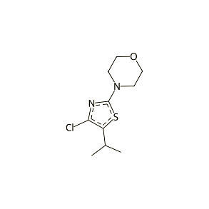 CC(C)c1sc(N2CCOCC2)nc1Cl